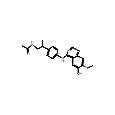 COc1cc2ncnc(Nc3ccc(C(C)CNC(C)=O)cc3)c2cc1O